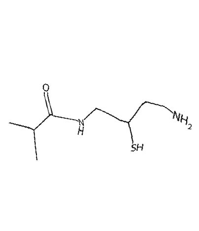 CC(C)C(=O)NCC(S)CN